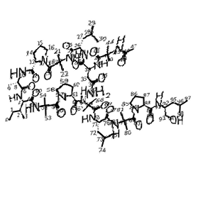 CC[C@H](C)[C@H](NC(=O)[C@H](C)NC(=O)[C@@H]1CCCN1C(=O)C(C)(C)NC(=O)[C@H](CC(C)C)NC(=O)[C@H](CC(N)=O)NC(=O)C(C)(C)NC(C)=O)C(=O)NC(C)(C)C(=O)N1CCC[C@H]1C(=O)NC(C)(C)C(=O)N[C@@H](CC(C)C)C(=O)NC(C)(C)C(=O)N1CCC[C@H]1C(=O)N[C@H](CO)CC(C)C